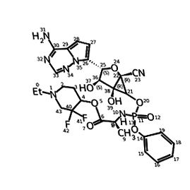 CCN1CCC(OC(=O)[C@H](C)NP(=O)(Oc2ccccc2)OC2[C@@]3(C#N)O[C@@H](c4ccc5c(N)ncnn45)[C@H](O)[C@@]23O)C(F)(F)C1